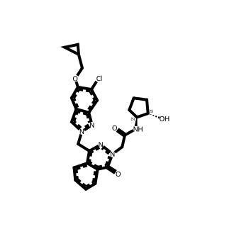 O=C(Cn1nc(Cn2cc3cc(OCC4CC4)c(Cl)cc3n2)c2ccccc2c1=O)N[C@H]1CCC[C@@H]1O